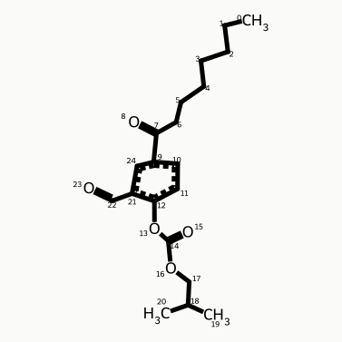 CCCCCCCC(=O)c1ccc(OC(=O)OCC(C)C)c([C]=O)c1